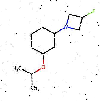 CC(C)OC1CCCC(N2CC(F)C2)C1